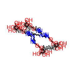 CC(=O)N[C@H]1[C@H](OCCOCCn2cc(CN(CCCC[C@H](C(C)=O)N(Cc3cn(CCOCCO[C@@H]4O[C@H](CO)[C@H](O)[C@H](O)[C@H]4NC(C)=O)nn3)Cc3cn(CCOCCO[C@@H]4O[C@H](CO)[C@H](O)[C@H](O)[C@H]4NC(C)=O)nn3)Cc3cn(CCOCCO[C@@H]4O[C@H](CO)[C@H](O)[C@H](O)[C@H]4NC(C)=O)nn3)nn2)O[C@H](CO)[C@H](O)[C@@H]1O